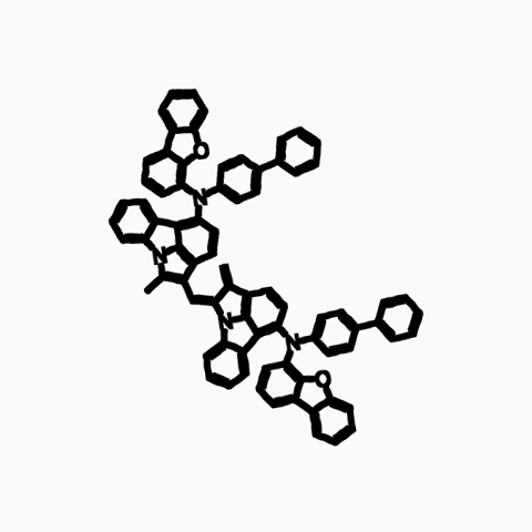 C=c1/c(=C\c2c(C)n3c4ccccc4c4c(N(c5ccc(-c6ccccc6)cc5)c5cccc6c5oc5ccccc56)ccc2c43)n2c3ccccc3c3c(N(c4ccc(-c5ccccc5)cc4)c4cccc5c4oc4ccccc45)ccc1c32